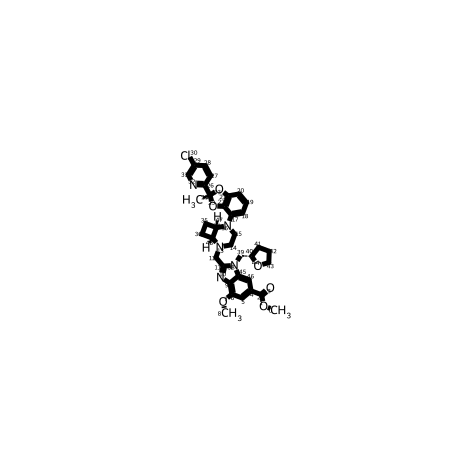 COC(=O)c1cc(OC)c2nc(CN3CCN(c4cccc5c4O[C@](C)(c4ccc(Cl)cn4)O5)[C@H]4CC[C@H]43)n(C[C@@H]3CCCO3)c2c1